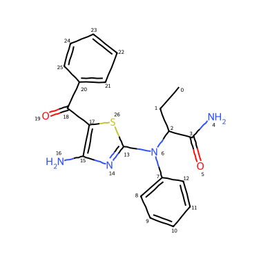 CCC(C(N)=O)N(c1ccccc1)c1nc(N)c(C(=O)c2ccccc2)s1